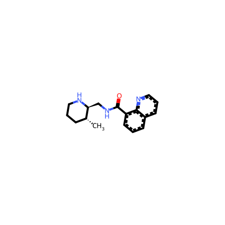 C[C@@H]1CCCN[C@H]1CNC(=O)c1cccc2cccnc12